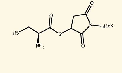 CCCCCCN1C(=O)CC(SC(=O)[C@@H](N)CS)C1=O